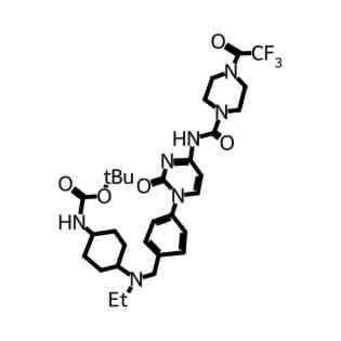 CCN(Cc1ccc(-n2ccc(NC(=O)N3CCN(C(=O)C(F)(F)F)CC3)nc2=O)cc1)C1CCC(NC(=O)OC(C)(C)C)CC1